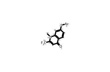 CC(=O)Sc1ccc2c(=O)cc(C(F)(F)F)n(C)c2c1